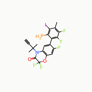 C#CC(C)(C)N1C(=O)C(F)(F)Oc2cc(F)c(-c3c(F)c(F)c(C)c(I)c3P)cc21